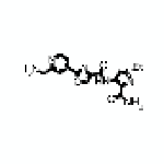 CCn1cc(NC(=O)c2coc(-c3ccnc(CN)c3)n2)c(C(N)=O)n1